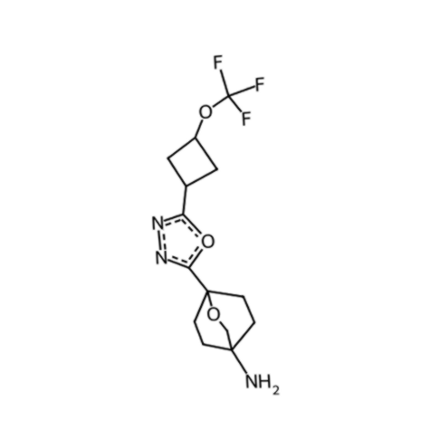 NC12CCC(c3nnc(C4CC(OC(F)(F)F)C4)o3)(CC1)OC2